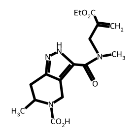 C=C(CN(C)C(=O)c1[nH]nc2c1CN(C(=O)O)C(C)C2)C(=O)OCC